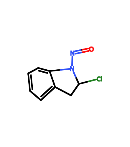 O=NN1c2ccccc2CC1Cl